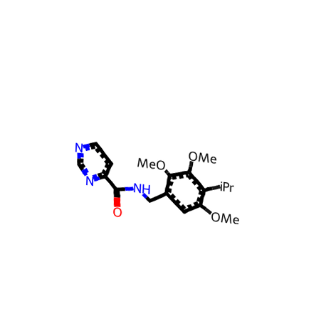 COc1cc(CNC(=O)c2ccncn2)c(OC)c(OC)c1C(C)C